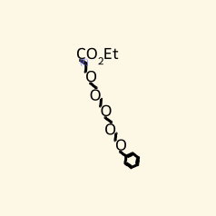 CCOC(=O)/C=C/COCCOCCOCCOCCOCc1ccccc1